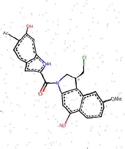 COc1ccc2c(O)cc3c(c2c1)[C@H](CCl)CN3C(=O)c1cc2cc(C(C)=O)c(O)cc2[nH]1